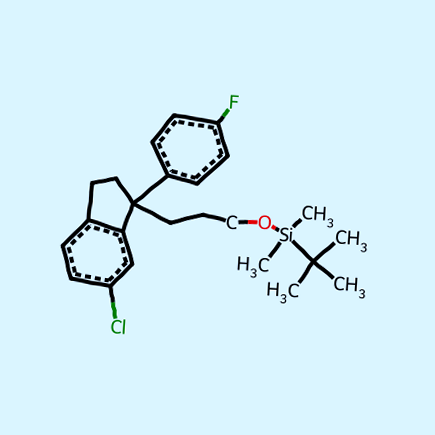 CC(C)(C)[Si](C)(C)OCCCC1(c2ccc(F)cc2)CCc2ccc(Cl)cc21